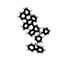 c1ccc(N(c2ccc(-n3c4ccccc4c4ccccc43)cc2)c2ccc(-c3c4ccccc4c(-c4cccc5ccccc45)c4ccccc34)c3ccccc23)cc1